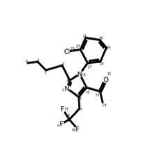 CCCCc1nc(CC(F)(F)F)c(C(C)=O)n1-c1ccccc1Cl